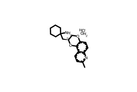 Cc1ccc2c3c(ccc2n1)OC[C@H](CC1(N)CCCCC1)O3.Cl.O